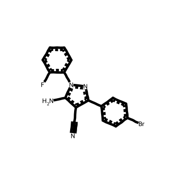 N#Cc1c(-c2ccc(Br)cc2)nn(-c2ccccc2F)c1N